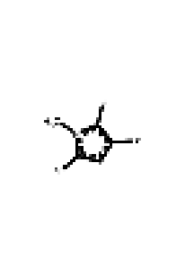 CC(C)c1cc(Br)c(Br)n1C